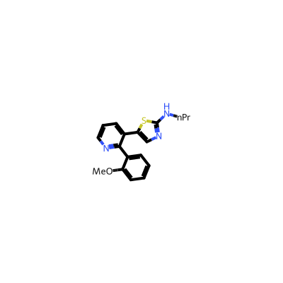 CCCNc1ncc(-c2cccnc2-c2ccccc2OC)s1